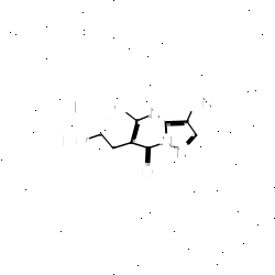 CCOC(=O)c1[nH]c2c(C#N)cnn2c(=O)c1CCO